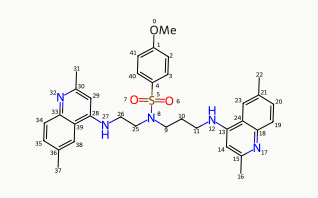 COc1ccc(S(=O)(=O)N(CCCNc2cc(C)nc3ccc(C)cc23)CCNc2cc(C)nc3ccc(C)cc23)cc1